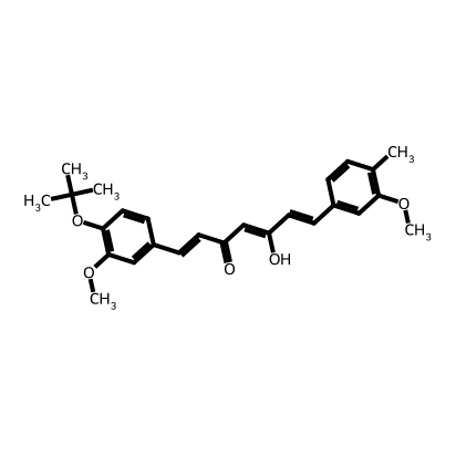 COc1cc(/C=C/C(O)=C/C(=O)/C=C/c2ccc(OC(C)(C)C)c(OC)c2)ccc1C